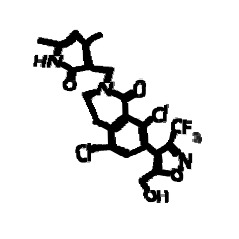 Cc1cc(C)c(CN2CCc3c(Cl)cc(-c4c(C(F)(F)F)noc4CO)c(Cl)c3C2=O)c(=O)[nH]1